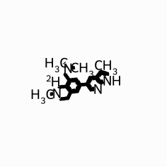 [2H]C1c2c(cc(-c3cnc4[nH]cc(C)c4c3)cc2CN(C)C)CCN1C